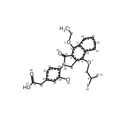 CCOc1c2c(c(OCC(F)F)c3ccccc13)CN(c1ccc(CC(=O)O)cc1Cl)C2=O